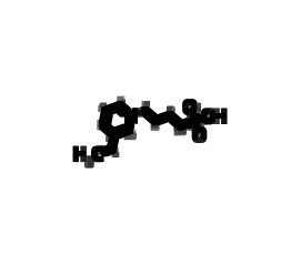 CCc1ccc[n+](CCCCS(=O)(=O)O)c1